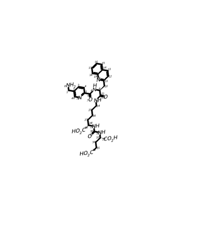 NCc1ccc(C(=O)N[C@@H](Cc2ccc3ccccc3n2)C(=O)NCCCC[C@H](NC(=O)N[C@@H](CCC(=O)O)C(=O)O)C(=O)O)nc1